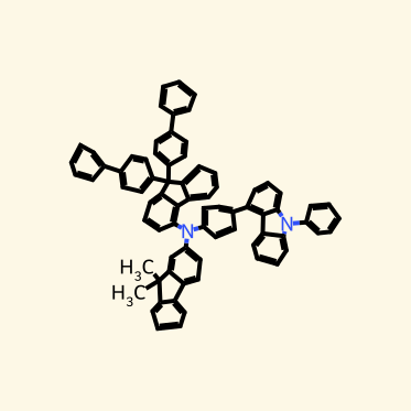 CC1(C)c2ccccc2-c2ccc(N(c3ccc(-c4cccc5c4c4ccccc4n5-c4ccccc4)cc3)c3cccc4c3-c3ccccc3C4(c3ccc(-c4ccccc4)cc3)c3ccc(-c4ccccc4)cc3)cc21